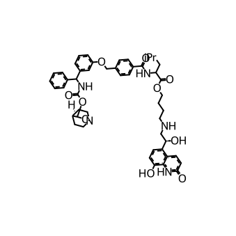 CC(C)CC(NC(=O)c1ccc(COc2cccc(C(NC(=O)O[C@H]3CN4CCC3CC4)c3ccccc3)c2)cc1)C(=O)OCCCCNC[C@@H](O)c1ccc(O)c2[nH]c(=O)ccc12